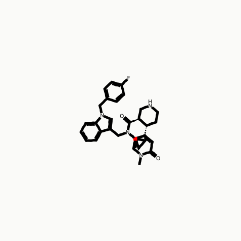 Cn1ccc([C@H]2CCNC[C@@H]2C(=O)N(Cc2cn(Cc3ccc(F)cc3)c3ccccc23)C2CC2)cc1=O